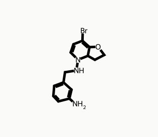 Nc1cccc(CNN2C=CC(Br)=C3OCCC32)c1